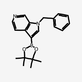 CC1(C)OB(c2cn(Cc3ccccc3)c3cnccc23)OC1(C)C